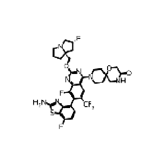 Nc1nc2c(-c3c(C(F)(F)F)cc4c(N5CCC6(CC5)CNC(=O)CO6)nc(OC[C@@]56CCCN5C[C@H](F)C6)nc4c3F)ccc(F)c2s1